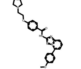 COc1ccc(-c2cccc3nc(NC(=O)c4ccc(OCCN5CCCC5)cc4)nn23)cc1